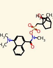 CN(OS(=O)(=O)CC12CCC(CC1=O)C2(C)C)C(=O)c1ccc(N(C)C)c2ccccc12